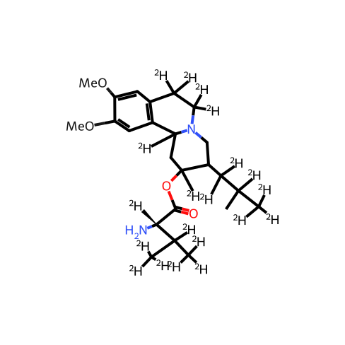 [2H]C1(OC(=O)[C@@]([2H])(N)C([2H])(C([2H])([2H])[2H])C([2H])([2H])[2H])CC2([2H])c3cc(OC)c(OC)cc3C([2H])([2H])C([2H])([2H])N2CC1C([2H])([2H])C([2H])(C)C([2H])([2H])[2H]